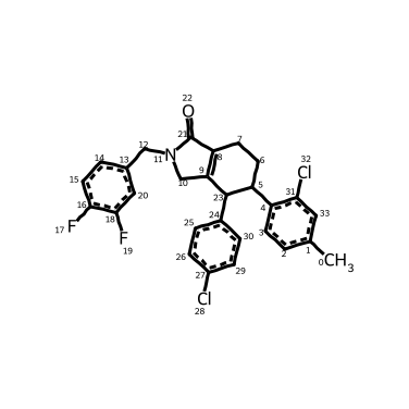 Cc1ccc(C2CCC3=C(CN(Cc4ccc(F)c(F)c4)C3=O)C2c2ccc(Cl)cc2)c(Cl)c1